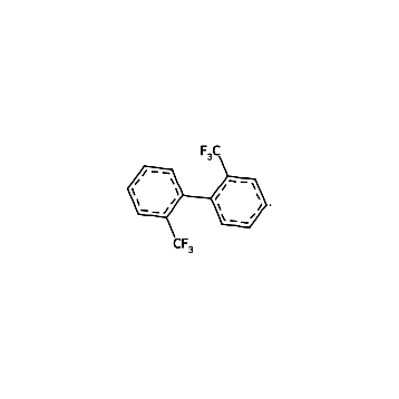 FC(F)(F)c1c[c]ccc1-c1ccccc1C(F)(F)F